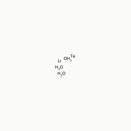 O.O.O.[Li].[Ta]